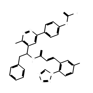 O=C(O)Nc1ccc(-c2cc(C(Cc3ccccc3)NC(=O)C=Cc3cc(Cl)ccc3-n3cnnn3)c(Cl)nn2)cc1